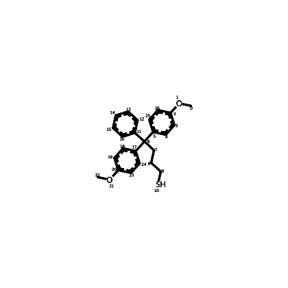 COc1ccc(C(CCCS)(c2ccccc2)c2ccc(OC)cc2)cc1